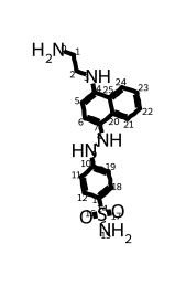 NCCNc1ccc(NNc2ccc(S(N)(=O)=O)cc2)c2ccccc12